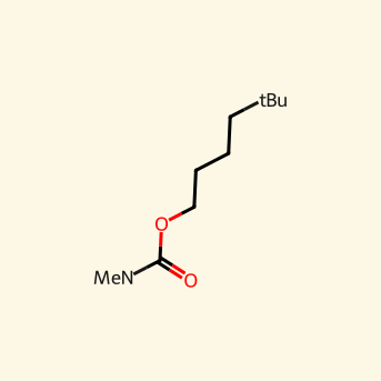 CNC(=O)OCCCCC(C)(C)C